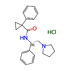 Cl.O=C(N[C@H](CN1CCCC1)c1ccccc1)C1(c2ccccc2)CC1